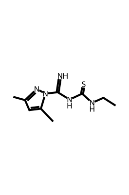 CCNC(=S)NC(=N)n1nc(C)cc1C